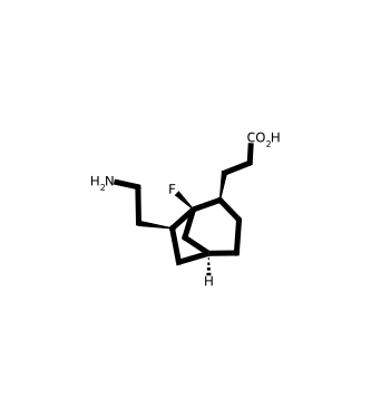 NCC[C@@H]1C[C@@H]2CC[C@H](CCC(=O)O)[C@]1(F)C2